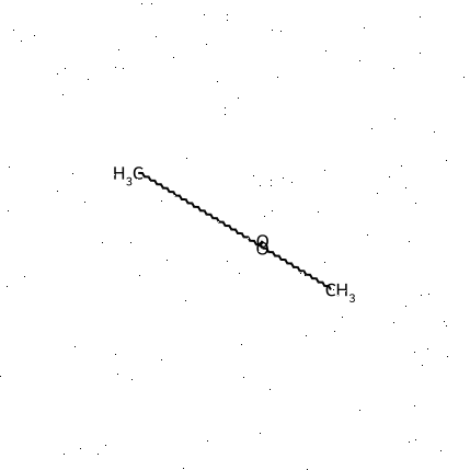 CCCCCCCCCCCCCCCCCCCCCCCCCCCCCCCCCCCCCCCC(=O)OCCCCCCCCCCCCCCCCCCCCCC